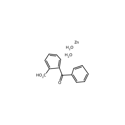 O.O.O=C(O)c1ccccc1C(=O)c1ccccc1.[Zn]